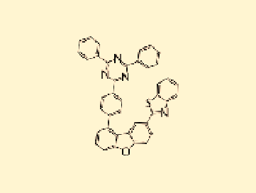 c1ccc(-c2nc(-c3ccccc3)nc(-c3ccc(-c4cccc5oc6ccc(-c7nc8ccccc8s7)cc6c45)cc3)n2)cc1